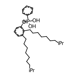 CC(C)CCCCCCCc1cccc(O[PH](O)(O)c2ccccc2)c1CCCCCCCC(C)C